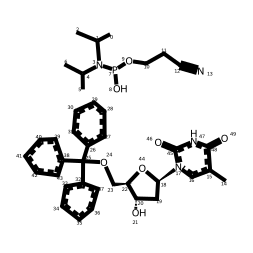 CC(C)N(C(C)C)P(O)OCCC#N.Cc1cn([C@H]2C[C@H](O)[C@@H](COC(c3ccccc3)(c3ccccc3)c3ccccc3)O2)c(=O)[nH]c1=O